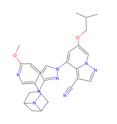 COc1ccc(CN2C3CC2CN(c2ccn(-c4cc(OCC(C)C)cn5ncc(C#N)c45)n2)C3)cn1